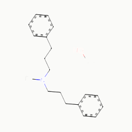 CCN(CCCc1ccccc1)CCCc1ccccc1.O=S(=O)(O)O